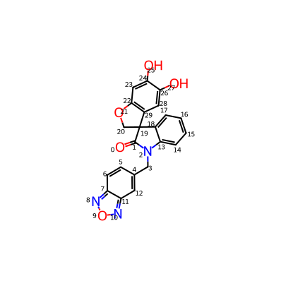 O=C1N(Cc2ccc3nonc3c2)c2ccccc2C12COc1cc(O)c(O)cc12